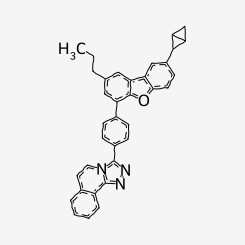 CCCc1cc(-c2ccc(-c3nnc4c5ccccc5ccn34)cc2)c2oc3ccc(C4C5CC54)cc3c2c1